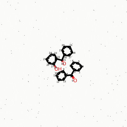 O=C(c1ccccc1)c1ccccc1.O=C(c1ccccc1)c1ccccc1O